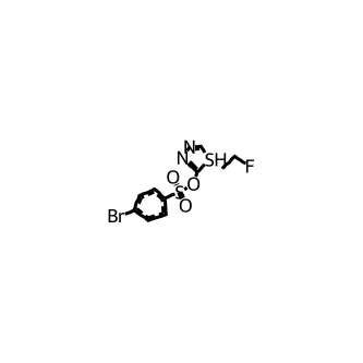 O=S(=O)(OC1=NN=C[SH]1CCF)c1ccc(Br)cc1